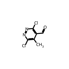 Cc1c(Cl)nnc(Cl)c1C=O